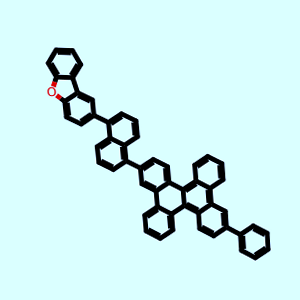 c1ccc(-c2ccc3c(c2)c2ccccc2c2c4ccc(-c5cccc6c(-c7ccc8oc9ccccc9c8c7)cccc56)cc4c4ccccc4c32)cc1